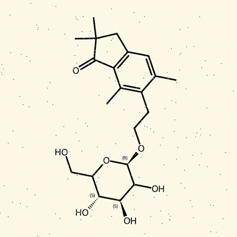 Cc1cc2c(c(C)c1CCO[C@@H]1OC(CO)[C@@H](O)[C@H](O)C1O)C(=O)C(C)(C)C2